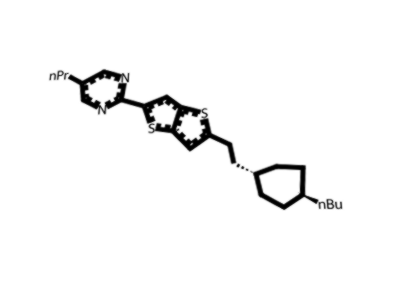 CCCC[C@H]1CC[C@H](CCc2cc3sc(-c4ncc(CCC)cn4)cc3s2)CC1